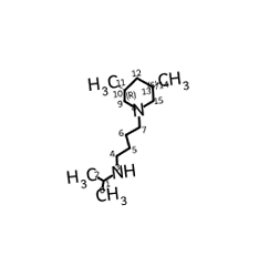 CC(C)NCCCCN1C[C@H](C)C[C@H](C)C1